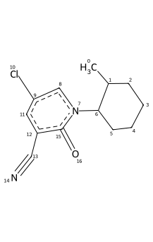 CC1CCCCC1n1cc(Cl)cc(C#N)c1=O